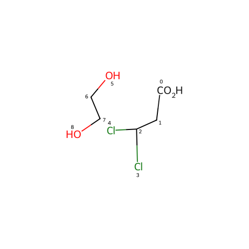 O=C(O)CC(Cl)Cl.OCCO